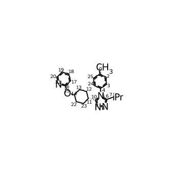 Cc1ccc(-n2c(C(C)C)nnc2[C@H]2CC[C@H](Oc3ccccn3)CC2)cc1